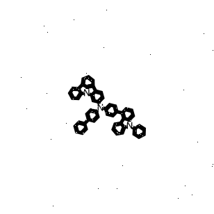 c1ccc(-c2ccc(N(c3ccc(-c4cccc5c4c4ccccc4n5-c4ccccc4)cc3)c3ccc4c5cccc6c7ccccc7n(c4c3)c65)cc2)cc1